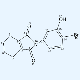 O=C1C2=C(CCCC2)C(=O)N1c1ccc(Br)c(O)c1